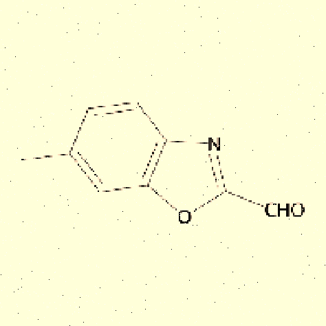 Cc1ccc2nc(C=O)oc2c1